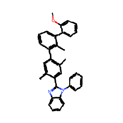 COc1ccccc1-c1cccc(-c2cc(C)c(-c3nc4ccccc4n3-c3ccccc3)cc2C)c1C